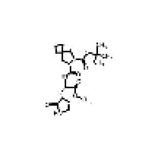 COC(=O)[C@H](C[C@@H]1CCNC1=O)NC(=O)C1CC2(CCC2)CN1C(=O)OC(C)(C)C